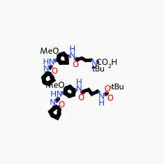 COc1cc(NC(=O)CCCN(C(=O)O)C(C)(C)C)ccc1Nc1nc2ccccc2o1.COc1cc(NC(=O)CCCNC(=O)OC(C)(C)C)ccc1Nc1nc2ccccc2o1